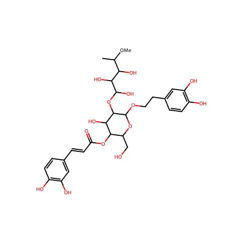 COC(C)C(O)C(O)C(O)OC1C(OCCc2ccc(O)c(O)c2)OC(CO)C(OC(=O)/C=C/c2ccc(O)c(O)c2)C1O